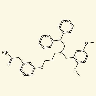 COc1ccc(OC)c(CN(CCCOc2cccc(CC(N)=O)c2)CC(c2ccccc2)c2ccccc2)c1